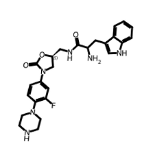 NC(Cc1c[nH]c2ccccc12)C(=O)NC[C@H]1CN(c2ccc(N3CCNCC3)c(F)c2)C(=O)O1